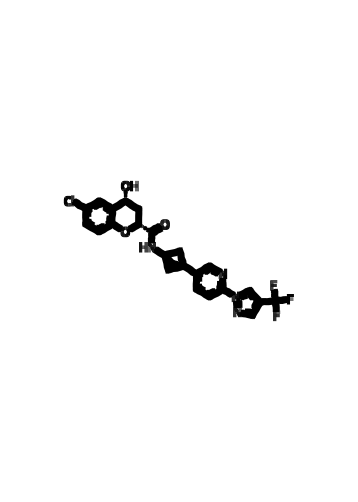 O=C(NC12CC(c3ccc(-n4cc(C(F)(F)F)cn4)nc3)(C1)C2)[C@H]1C[C@@H](O)c2cc(Cl)ccc2O1